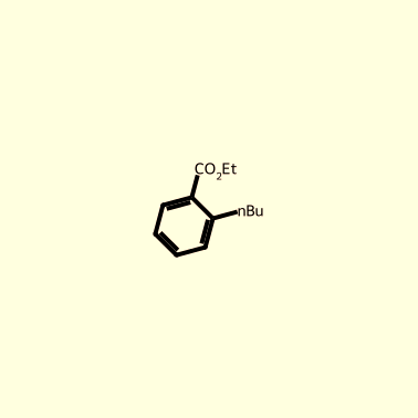 [CH2]CCCc1ccccc1C(=O)OCC